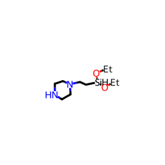 CCO[SiH](CCN1CCNCC1)OCC